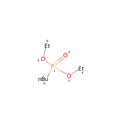 CCCCP(=O)(OCC)OCC